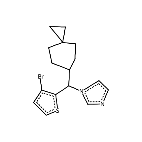 Brc1ccsc1C(C1CCC2(CC1)CC2)n1ccnc1